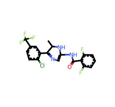 CC1NC(NC(=O)c2c(F)cccc2F)=CN=C1c1cc(C(F)(F)F)ccc1Cl